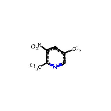 O=[N+]([O-])c1cc(C(Cl)(Cl)Cl)cnc1C(Cl)(Cl)Cl